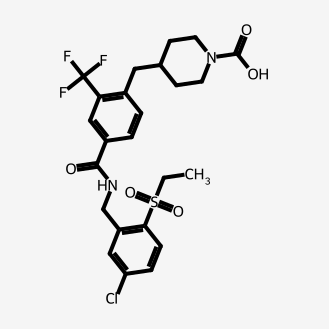 CCS(=O)(=O)c1ccc(Cl)cc1CNC(=O)c1ccc(CC2CCN(C(=O)O)CC2)c(C(F)(F)F)c1